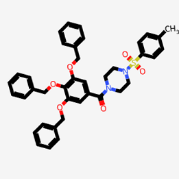 Cc1ccc(S(=O)(=O)N2CCN(C(=O)c3cc(OCc4ccccc4)c(OCc4ccccc4)c(OCc4ccccc4)c3)CC2)cc1